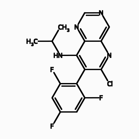 CC(C)Nc1c(-c2c(F)cc(F)cc2F)c(Cl)nc2cncnc12